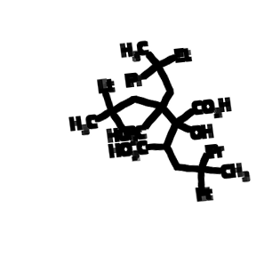 CCC(C)(CC(C(=O)O)C(O)(C(=O)O)C(CC(C)(CC)C(C)C)(CC(C)(CC)C(C)C)C(=O)O)C(C)C